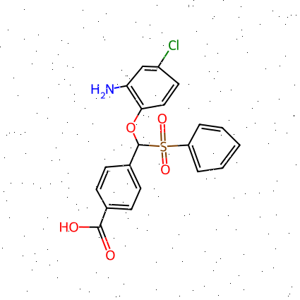 Nc1cc(Cl)ccc1OC(c1ccc(C(=O)O)cc1)S(=O)(=O)c1ccccc1